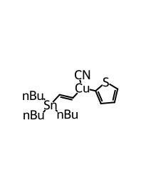 CCC[CH2][Sn]([CH]=[CH][Cu]([C]#N)[c]1cccs1)([CH2]CCC)[CH2]CCC